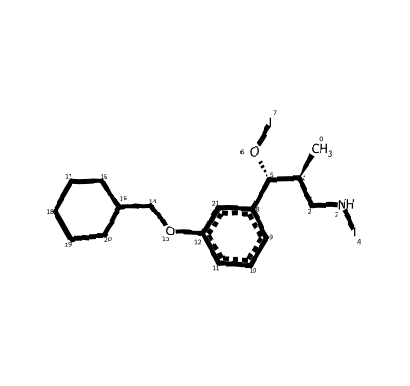 C[C@@H](CNI)[C@@H](OI)c1cccc(OCC2CCCCC2)c1